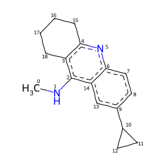 CNc1c2c(nc3ccc(C4CC4)cc13)CCCC2